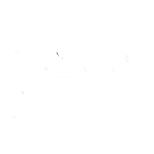 Cc1cc(C[C@@H](OC(=O)N2CCC(N3CCc4ccccc4NC3=O)CC2)C(=O)N=C=C=CN2CCCC[C@H]2C(=O)O)cc(C)c1O